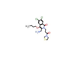 CCCCOc1c(CN)n(CCC(=O)N2CCSC2)c(=O)c2cc(Cl)c(Cl)cc12